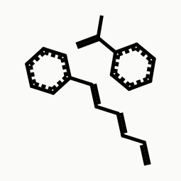 C=C(C)c1ccccc1.C=CC=CC=Cc1ccccc1